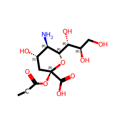 CCC(=O)O[C@@]1(C(=O)O)C[C@H](O)[C@@H](N)[C@H]([C@H](O)[C@H](O)CO)O1